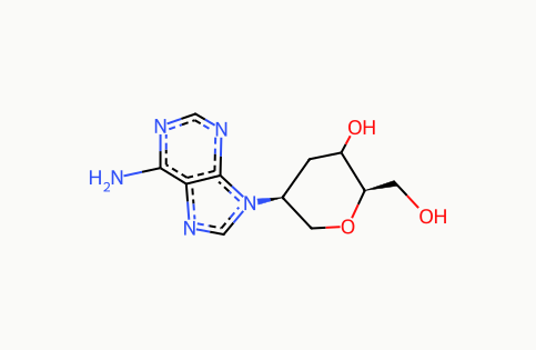 Nc1ncnc2c1ncn2[C@@H]1CO[C@H](CO)C(O)C1